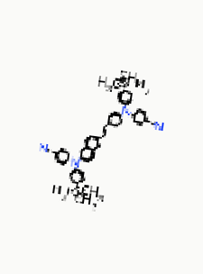 C[Si](C)(C)c1ccc(N(c2ccc(C#N)cc2)c2ccc(/C=C/c3ccc4cc(N(c5ccc(C#N)cc5)c5ccc([Si](C)(C)C)cc5)ccc4c3)cc2)cc1